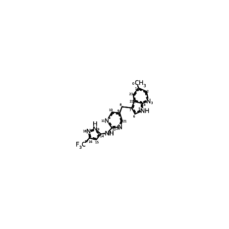 Cc1cnc2[nH]cc(Cc3cnc(Nc4cc(C(F)(F)F)n[nH]4)nc3)c2c1